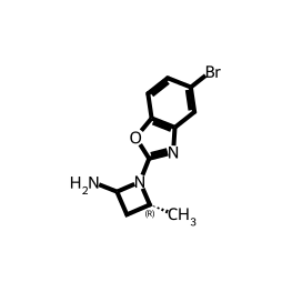 C[C@@H]1CC(N)N1c1nc2cc(Br)ccc2o1